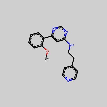 CC(C)Oc1ccccc1-c1cc(NCCc2ccncc2)ncn1